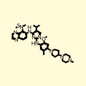 COc1cc(N2CCC(N3CCN(C)CC3)CC2)c(C)cc1Nc1ncc(C(C)C)c(Nc2ccc3nccnc3c2N(C)SC)n1